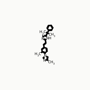 Cc1cn(-c2ccc(/C=C/c3nnc(C(C)(C)c4ccccc4)[nH]3)cc2C)cn1